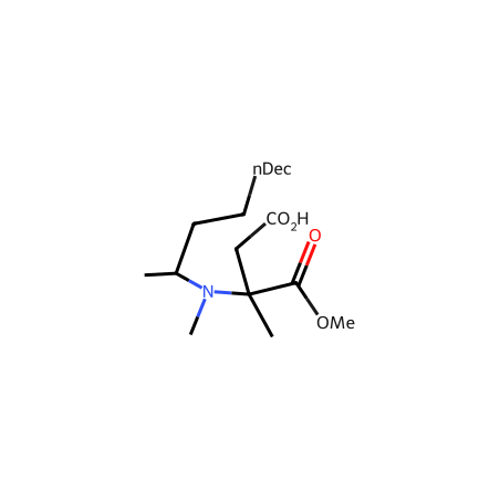 CCCCCCCCCCCCC(C)N(C)C(C)(CC(=O)O)C(=O)OC